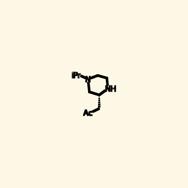 CC(=O)C[C@@H]1CN(C(C)C)CCN1